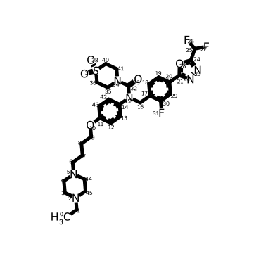 CCN1CCN(CCCCOc2ccc(N(Cc3ccc(-c4nnc(C(F)F)o4)cc3F)C(=O)N3CCS(=O)(=O)CC3)cc2)CC1